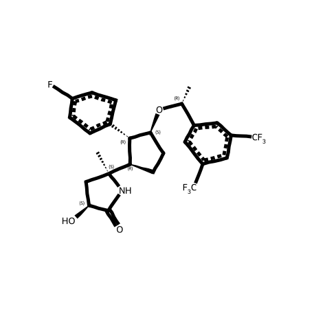 C[C@@H](O[C@H]1CC[C@@H]([C@]2(C)C[C@H](O)C(=O)N2)[C@@H]1c1ccc(F)cc1)c1cc(C(F)(F)F)cc(C(F)(F)F)c1